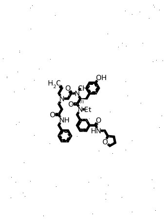 C=CCN(CCC(=O)NCc1ccccc1)CC(=O)N(C)[C@@H](Cc1ccc(O)cc1)C(=O)N(CC)CC1=CC=CC(C(=O)NCC2CCCO2)C1